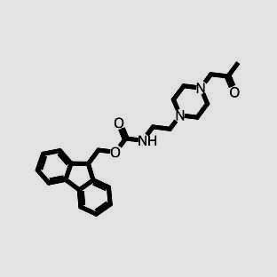 CC(=O)CN1CCN(CCNC(=O)OCC2c3ccccc3-c3ccccc32)CC1